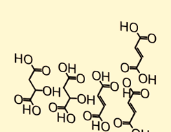 O=C(O)C=CC(=O)O.O=C(O)C=CC(=O)O.O=C(O)C=CC(=O)O.O=C(O)CC(O)C(=O)O.O=C(O)CC(O)C(=O)O